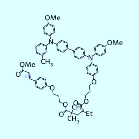 CCC(CC(C)(C)C(=O)OCCCOc1ccc(/C=C/C(=O)OC)cc1)C(=O)OCCCOc1ccc(N(c2ccc(OC)cc2)c2ccc(-c3ccc(N(c4ccc(OC)cc4)c4cccc(C)c4)cc3)cc2)cc1